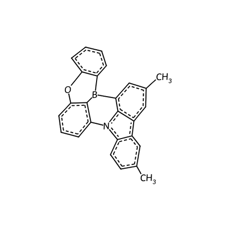 Cc1ccc2c(c1)c1cc(C)cc3c1n2-c1cccc2c1B3c1ccccc1O2